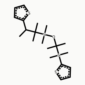 CC(c1cccs1)C(C)(C)[Si](C)(C)OC(C)(C)[Si](C)(C)c1cccs1